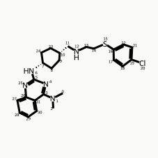 CN(C)c1nc(N[C@H]2CC[C@@H](CNCCSc3ccc(Cl)cc3)CC2)nc2ccccc12